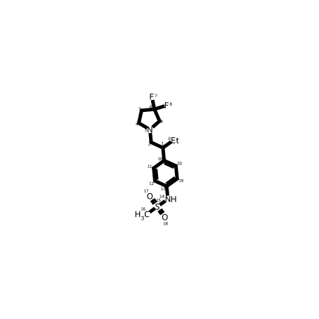 CCC(CN1CCC(F)(F)C1)c1ccc(NS(C)(=O)=O)cc1